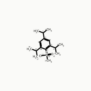 CC(C)c1cc(C(C)C)c([SH](C)(=O)Cl)c(C(C)C)c1